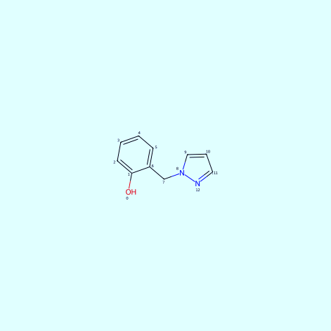 Oc1ccccc1Cn1cc[c]n1